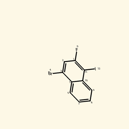 Fc1cc(Br)c2ccccc2c1I